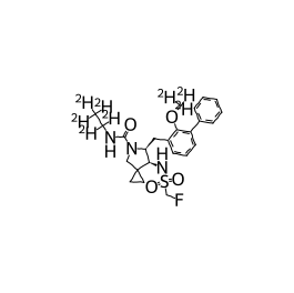 [2H]C([2H])([2H])Oc1c(C[C@H]2[C@@H](NS(=O)(=O)CF)C3(CC3)CN2C(=O)NC([2H])([2H])C([2H])([2H])[2H])cccc1-c1ccccc1